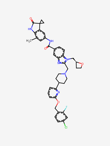 Cc1cc(NC(=O)c2ccc3c(c2)nc(CN2CCC(c4cccc(OCc5ccc(Cl)cc5F)n4)CC2)n3C[C@@H]2CCO2)cc2c1NC(=O)C21CC1